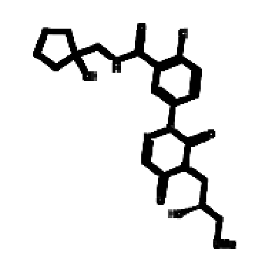 COC[C@H](O)Cn1c(=O)cnn(-c2ccc(Cl)c(C(=O)NCC3(O)CCCC3)c2)c1=O